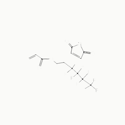 C=CC(=O)OCCC(F)(F)C(F)(F)C(F)(F)C(F)(F)F.O=C1C=CC(=O)N1